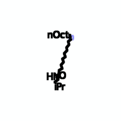 CCCCCCCC/C=C\CCCCCCCCCCCC(=O)NCCC(C)C